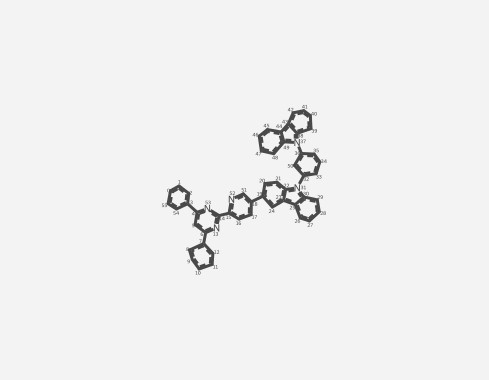 c1ccc(-c2cc(-c3ccccc3)nc(-c3ccc(-c4ccc5c(c4)c4ccccc4n5-c4cccc(-n5c6ccccc6c6ccccc65)c4)cn3)n2)cc1